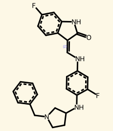 O=C1Nc2cc(F)ccc2/C1=C/Nc1ccc(NC2CCN(Cc3ccccc3)C2)c(F)c1